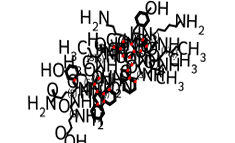 CC[C@H](C)[C@H](NC(=O)[C@H](CCCCN)NC(=O)[C@H](Cc1ccc(O)cc1)NC(=O)[C@H](Cc1c[nH]c2ccccc12)NC(=O)[C@H](C)NC(=O)[C@@H](NC(=O)[C@H](Cc1c[nH]c2ccccc12)NC(=O)[C@H](Cc1ccccc1)NC(=O)[C@H](Cc1ccc(O)cc1)NC(=O)[C@H](CCC(N)=O)NC(=O)[C@@H](N)CCC(=O)O)[C@@H](C)CC)C(=O)N[C@@H](C)C(=O)N[C@@H](CC(N)=O)C(=O)N[C@@H](CO)C(=O)N[C@@H](CCCCN)C(=O)O